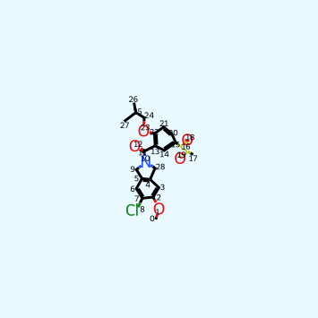 COc1cc2c(cc1Cl)CN(C(=O)c1cc(S(C)(=O)=O)ccc1OCC(C)C)C2